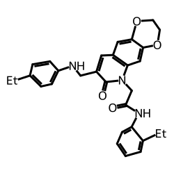 CCc1ccc(NCc2cc3cc4c(cc3n(CC(=O)Nc3ccccc3CC)c2=O)OCCO4)cc1